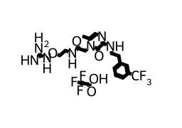 Cc1cnc(NCCc2cccc(C(F)(F)F)c2)c(=O)n1CC(=O)NCCONC(=N)N.O=C(O)C(F)(F)F